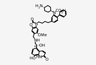 COc1cc2c(cc1CNC[C@H](O)c1ccc(O)c3[nH]c(=O)ccc13)oc(=O)n2CCCCc1ccc(-c2ccccc2)c(N(C(=O)O)[C@H]2CC[C@H](N)CC2)c1